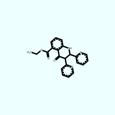 CCOC(=O)c1cccc2c1C(=O)C(c1ccccn1)C(c1ccccn1)N2